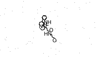 CC[C@]1(CCC(=O)NCCCOC)CCCN2CCc3c([nH]c4ccccc34)[C@@H]21